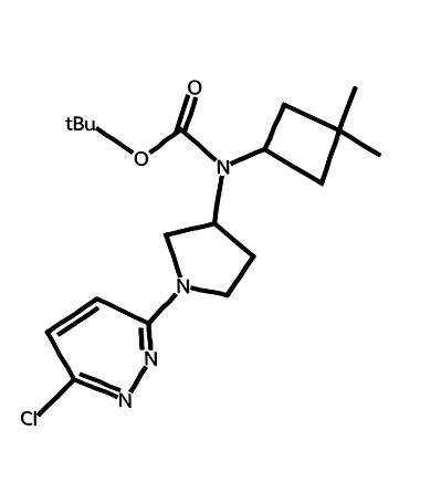 CC1(C)CC(N(C(=O)OC(C)(C)C)C2CCN(c3ccc(Cl)nn3)C2)C1